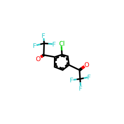 O=C(c1ccc(C(=O)C(F)(F)F)c(Cl)c1)C(F)(F)F